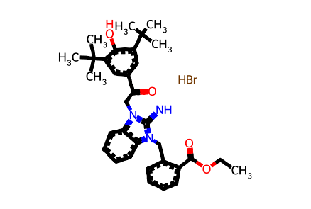 Br.CCOC(=O)c1ccccc1Cn1c(=N)n(CC(=O)c2cc(C(C)(C)C)c(O)c(C(C)(C)C)c2)c2ccccc21